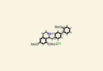 COc1cc2c(c(OC)c1)C(Cc1ccc(-c3ccccc3OC)cc1)NCC2.Cl